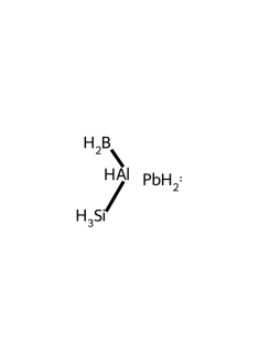 [BH2][AlH][SiH3].[PbH2]